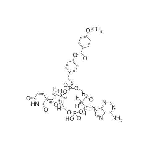 COc1ccc(C(=O)Oc2ccc(CSP3(=O)OC[C@H]4O[C@@H](n5cnc6c(N)ncnc65)[C@H](OP(=O)(O)OC[C@H]5O[C@@H](n6ccc(=O)[nH]c6=O)[C@H](F)[C@@H]5O3)[C@@H]4F)cc2)cc1